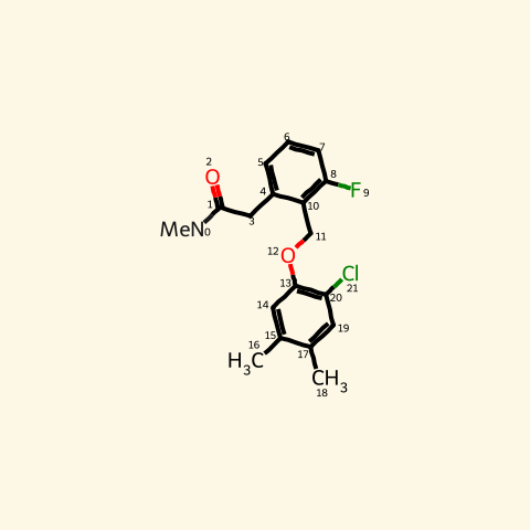 CNC(=O)Cc1cccc(F)c1COc1cc(C)c(C)cc1Cl